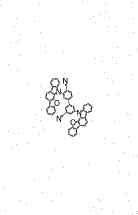 N#Cc1cc(-c2ccc(C#N)c(-n3c4ccccc4c4ccc5c6ccccc6oc5c43)c2)cc(-n2c3ccccc3c3ccc4c5ccccc5oc4c32)c1